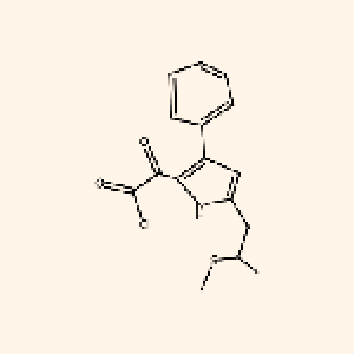 CSC(C)Cc1cc(-c2ccccc2)c(C(=O)C(=O)Cl)[nH]1